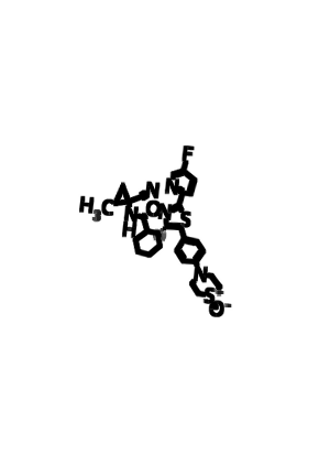 CC1CC1(C#N)NC(=O)C1CCCC[C@H]1c1nc(-c2ccc(F)cn2)sc1-c1ccc(N2CC[S+]([O-])CC2)cc1